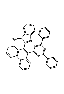 Cn1c(-c2c3c(c4ccccc4c2-c2nc(-c4ccccc4)nc(-c4ccccc4)n2)C=CCC3)nc2ccccc21